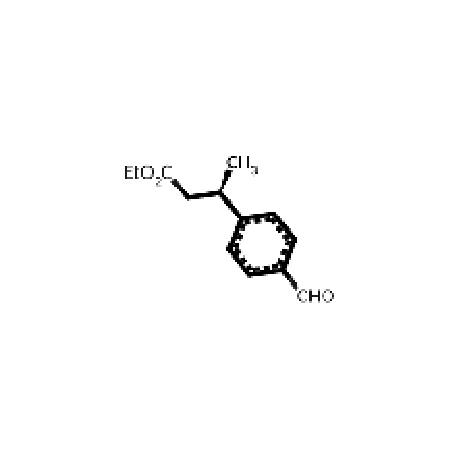 CCOC(=O)C[C@@H](C)c1ccc(C=O)cc1